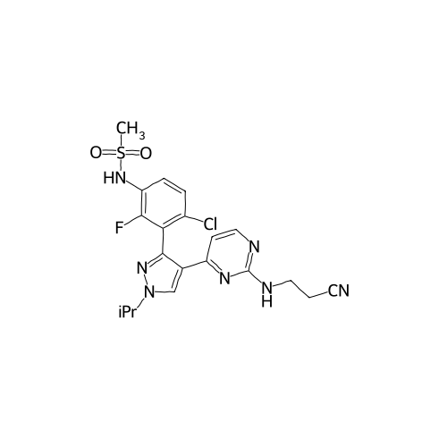 CC(C)n1cc(-c2ccnc(NCCC#N)n2)c(-c2c(Cl)ccc(NS(C)(=O)=O)c2F)n1